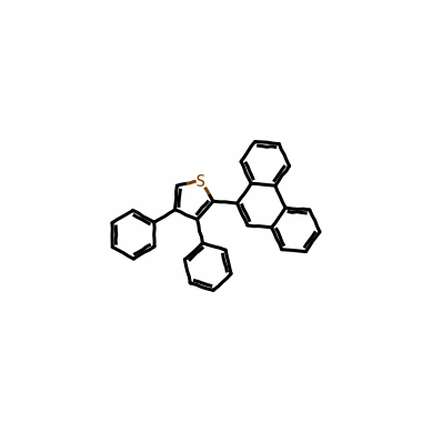 c1ccc(-c2csc(-c3cc4ccccc4c4ccccc34)c2-c2ccccc2)cc1